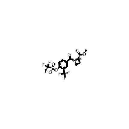 COC(=O)[C@H]1CCN1C(=S)c1ccc(OS(=O)(=O)C(F)(F)F)c(C(F)(F)F)c1